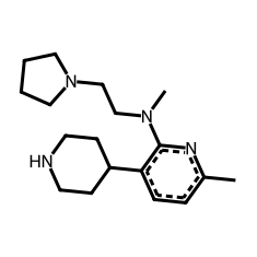 Cc1ccc(C2CCNCC2)c(N(C)CCN2CCCC2)n1